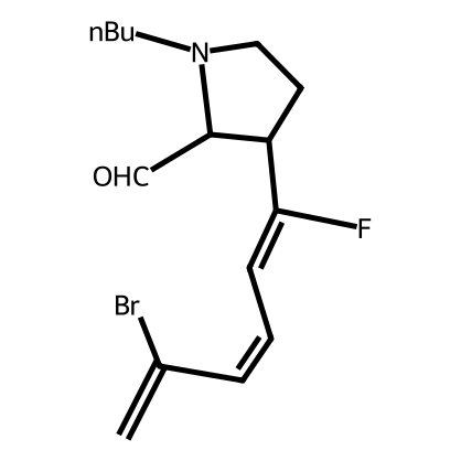 C=C(Br)/C=C\C=C(/F)C1CCN(CCCC)C1C=O